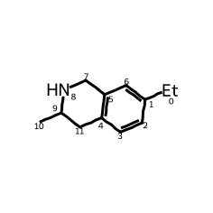 CCc1ccc2c(c1)CNC(C)C2